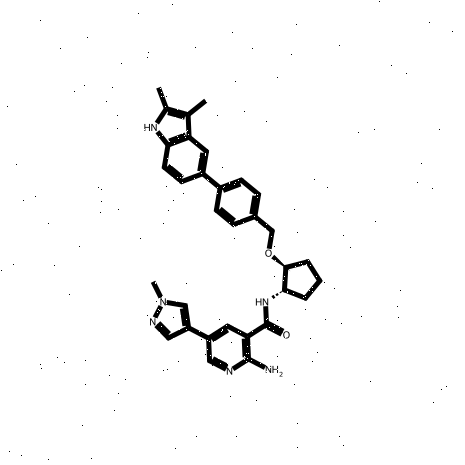 Cc1[nH]c2ccc(-c3ccc(CO[C@H]4CCC[C@@H]4NC(=O)c4cc(-c5cnn(C)c5)cnc4N)cc3)cc2c1C